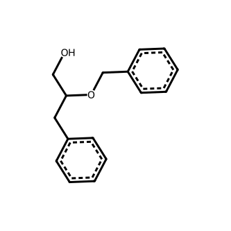 OCC(Cc1ccccc1)OCc1ccccc1